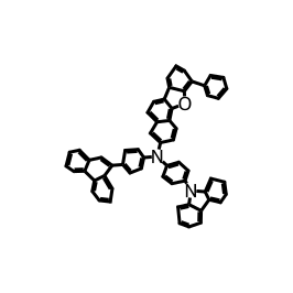 c1ccc(-c2cccc3c2oc2c4ccc(N(c5ccc(-c6cc7ccccc7c7ccccc67)cc5)c5ccc(-n6c7ccccc7c7ccccc76)cc5)cc4ccc32)cc1